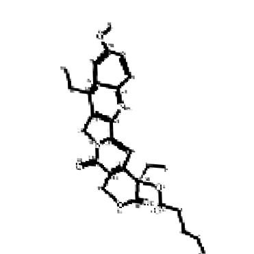 CCCCC(=O)O[C@]1(CC)C(=O)OCc2c1cc1n(c2=O)Cc2c-1nc1ccc(OC)cc1c2CC